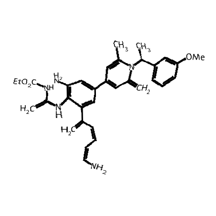 C=C(NC(=O)OCC)Nc1c(N)cc(C2=CC(=C)N([C@@H](C)c3cccc(OC)c3)C(C)=C2)cc1C(=C)/C=C\C=C/N